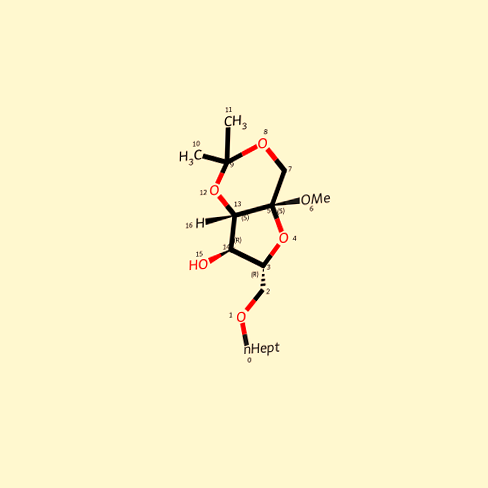 CCCCCCCOC[C@H]1O[C@@]2(OC)COC(C)(C)O[C@H]2[C@@H]1O